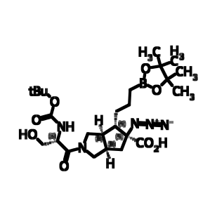 CC(C)(C)OC(=O)N[C@@H](CO)C(=O)N1C[C@@H]2C[C@@](N=[N+]=[N-])(C(=O)O)[C@@H](CCCB3OC(C)(C)C(C)(C)O3)[C@@H]2C1